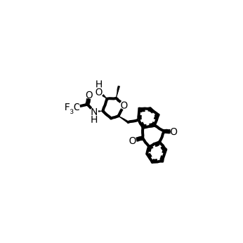 C[C@H]1O[C@@H](Cc2cccc3c2C(=O)c2ccccc2C3=O)C[C@H](NC(=O)C(F)(F)F)[C@H]1O